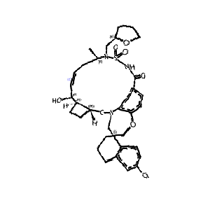 C[C@@H]1C/C=C\[C@H](O)[C@@H]2CC[C@H]2CN2C[C@@]3(CCCc4cc(Cl)ccc43)COc3ccc(cc32)C(=O)NS(=O)(=O)N1C[C@H]1CCCO1